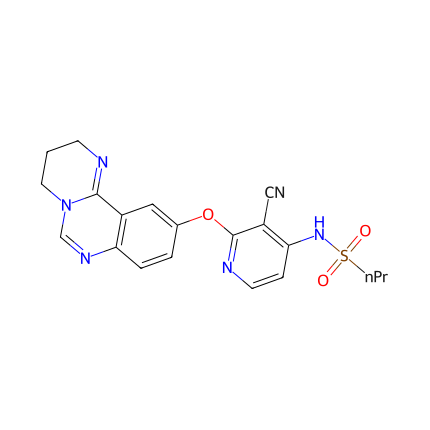 CCCS(=O)(=O)Nc1ccnc(Oc2ccc3c(c2)C2=NCCCN2C=N3)c1C#N